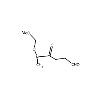 COCON(C)C(=O)CCC=O